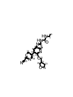 CCNC(=O)Nc1nc2cc(-c3ccc(C#N)nc3)c(OCC3CCOC3)nc2s1